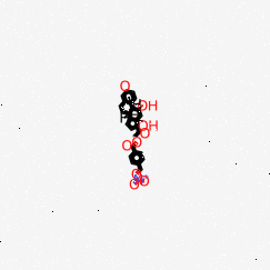 C[C@]12C=CC(=O)C=C1CC[C@@H]1[C@@H]2[C@@H](O)C[C@@]2(C)[C@H]1CC[C@]2(O)C(=O)COC(=O)c1ccc(CO[N+](=O)[O-])cc1